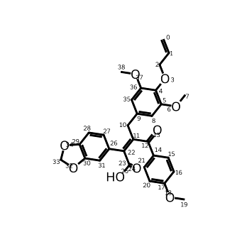 C=CCOc1c(OC)cc(CC(C(=O)c2ccc(OC)cc2)=C(C(=O)O)c2ccc3c(c2)OCO3)cc1OC